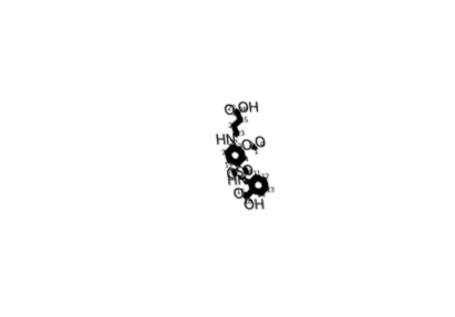 O=COc1cc(S(=O)(=O)Nc2ccccc2C(=O)O)ccc1NCCCC(=O)O